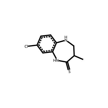 CC1CNc2ccc(Cl)cc2NC1=S